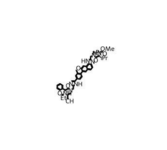 C#CCCN(Cc1ncc(-c2ccc3c(c2)COc2cc4c(ccc5nc(CN(CCC)C(=O)[C@@H](NC(=O)OC)C(C)C)[nH]c54)cc2-3)[nH]1)C(=O)[C@H](NC(=O)CC)c1ccccc1